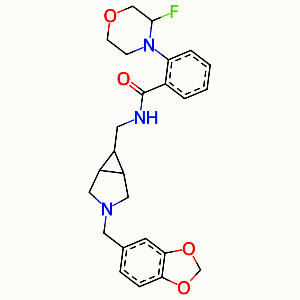 O=C(NCC1C2CN(Cc3ccc4c(c3)OCO4)CC12)c1ccccc1N1CCOCC1F